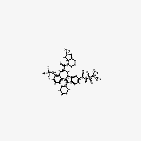 CN1CC2CCCN(C(=O)C3=Cc4c(OC(F)(F)F)cccc4-c4c(C5CCCCC5)c5ccc(C(=O)NS(=O)(=O)N(C)C)cc5n4C3)C2C1